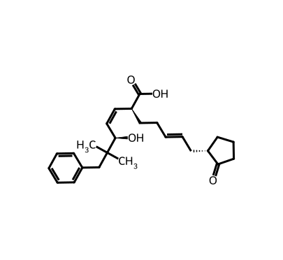 CC(C)(Cc1ccccc1)[C@H](O)/C=C\[C@H](CC/C=C/C[C@@H]1CCCC1=O)C(=O)O